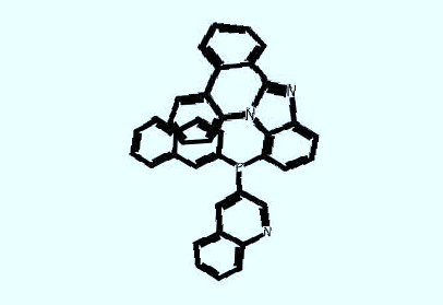 c1ccc2cc(P(c3cnc4ccccc4c3)c3cccc4nc5c6ccccc6c6ccccc6n5c34)ccc2c1